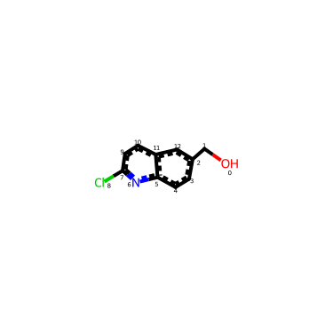 OCc1ccc2nc(Cl)ccc2c1